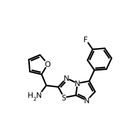 NC(c1ccco1)c1nn2c(-c3cccc(F)c3)cnc2s1